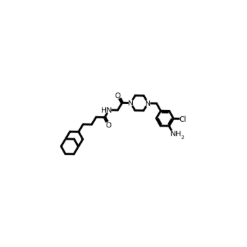 Nc1ccc(CN2CCN(C(=O)CNC(=O)CCCC3CC4CCCC(C3)C4)CC2)cc1Cl